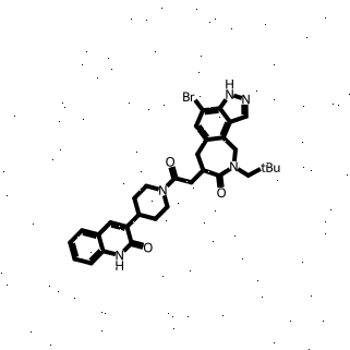 CC(C)(C)CN1Cc2c(cc(Br)c3[nH]ncc23)CC(CC(=O)N2CCC(c3cc4ccccc4[nH]c3=O)CC2)C1=O